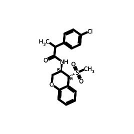 CC(C(=O)N[C@@H]1COc2ccccc2[C@H]1S(C)(=O)=O)c1ccc(Cl)cc1